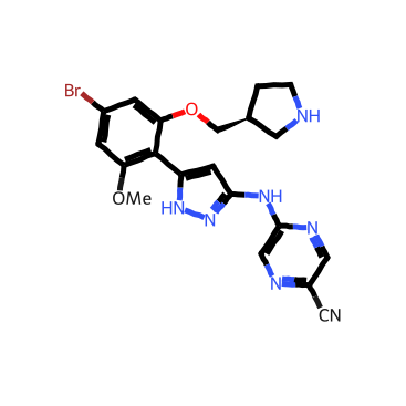 COc1cc(Br)cc(OC[C@H]2CCNC2)c1-c1cc(Nc2cnc(C#N)cn2)n[nH]1